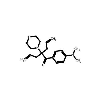 C=CCC(CC=C)(C(=O)c1ccc(N(C)C)cc1)N1CCOCC1